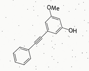 COc1cc(O)cc(C#Cc2ccccc2)c1